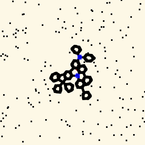 c1ccc(-c2ccc(N(c3ccccc3-c3ccccc3)c3cc4c(cc3-c3ccc(N(c5ccccc5)c5ccccc5)cc3)-c3ccccc3C4(c3ccccc3)c3ccccc3)cc2)cc1